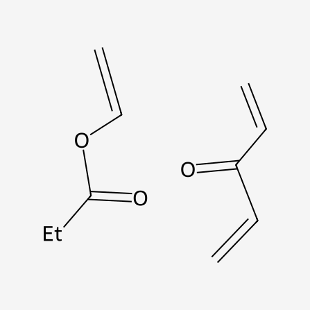 C=CC(=O)C=C.C=COC(=O)CC